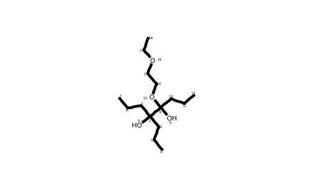 CCCC(O)(CCC)C(O)(CCC)OCCOCC